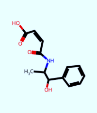 CC(NC(=O)/C=C\C(=O)O)C(O)c1ccccc1